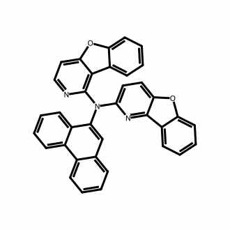 c1ccc2c(c1)cc(N(c1ccc3oc4ccccc4c3n1)c1nccc3oc4ccccc4c13)c1ccccc12